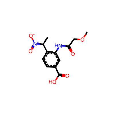 COCC(=O)Nc1cc(C(=O)O)ccc1C(C)[N+](=O)[O-]